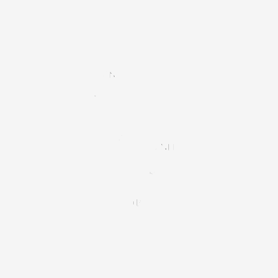 CC(C)(C)OC(=O)NC1CC(CC#N)C1